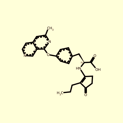 CCCC1=C(N[C@@H](Cc2ccc(Oc3nc(C)cc4ccncc34)cc2)C(=O)O)CCC1=O